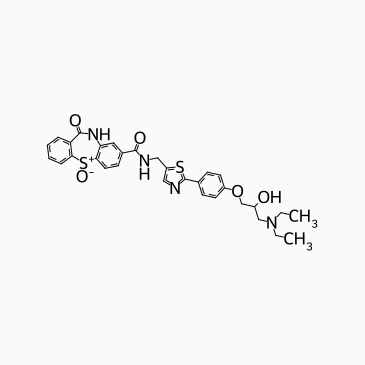 CCN(CC)CC(O)COc1ccc(-c2ncc(CNC(=O)c3ccc4c(c3)NC(=O)c3ccccc3[S+]4[O-])s2)cc1